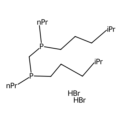 Br.Br.CCCP(CCCC(C)C)CP(CCC)CCCC(C)C